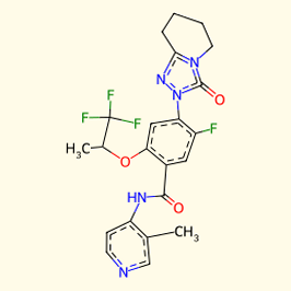 Cc1cnccc1NC(=O)c1cc(F)c(-n2nc3n(c2=O)CCCC3)cc1OC(C)C(F)(F)F